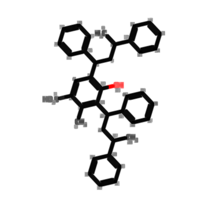 Cc1c(S(=O)(=O)O)cc(C(CC(C)c2ccccc2)c2ccccc2)c(O)c1C(CC(C)c1ccccc1)c1ccccc1